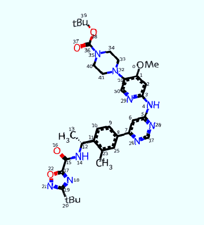 COc1cc(Nc2cc(-c3ccc([C@@H](C)NC(=O)c4nc(C(C)(C)C)no4)c(C)c3)ncn2)ncc1N1CCN(C(=O)OC(C)(C)C)CC1